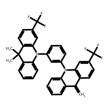 C=C1c2ccccc2N(c2cccc(N3c4ccccc4C(C)(C)c4ccc(C(F)(F)F)cc43)c2)c2cc(C(F)(F)F)ccc21